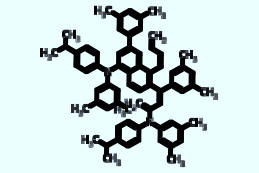 C=C/C=C\c1c(/C(=C\C(=C)N(c2ccc(C(C)C)cc2)c2cc(C)cc(C)c2)c2cc(C)cc(C)c2)ccc2c(N(c3ccc(C(C)C)cc3)c3cc(C)cc(C)c3)cc(-c3cc(C)cc(C)c3)cc12